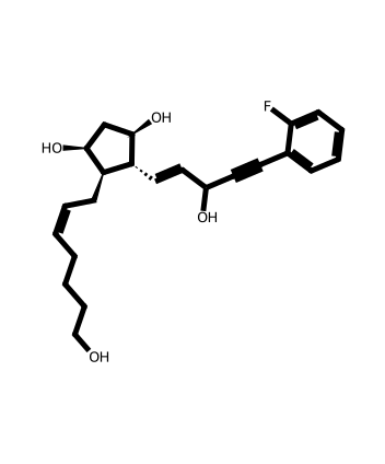 OCCCC/C=C\C[C@@H]1[C@@H](/C=C/C(O)C#Cc2ccccc2F)[C@H](O)C[C@@H]1O